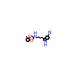 Cc1cccc2c1OCC(NCCCCc1c[nH]c3ccc(C#N)cc13)CO2